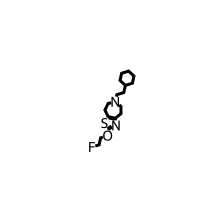 FCCOc1nc2c(s1)CCN(CCC1CCCCC1)CC2